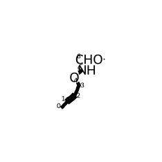 CC#CCON[C]=O